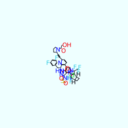 Cn1nc(NS(C)(=O)=O)c2c(Cl)ccc(-c3ccc(C#CC4CCCN4C(=O)CO)nc3[C@H](Cc3cc(F)cc(F)c3)NC(=O)Cn3nc(C(F)(F)F)c4c3C(F)(F)[C@@H]3CC[C@H]43)c21